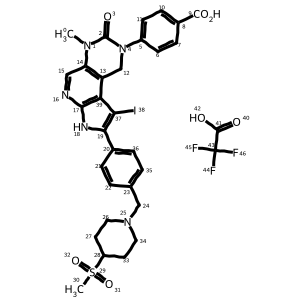 CN1C(=O)N(c2ccc(C(=O)O)cc2)Cc2c1cnc1[nH]c(-c3ccc(CN4CCC(S(C)(=O)=O)CC4)cc3)c(I)c21.O=C(O)C(F)(F)F